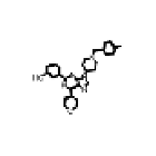 Cc1ccc(CN2CCC(n3cnc4c(C5=CCOCC5)nc(-c5cccc(O)c5)nc43)CC2)cc1